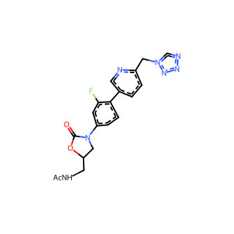 CC(=O)NCC1CN(c2ccc(-c3ccc(Cn4cnnn4)nc3)c(F)c2)C(=O)O1